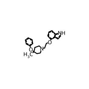 CC1(Oc2ccccc2)CCN(CCOc2cccc3[nH]ccc23)CC1